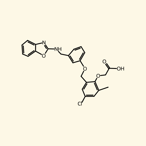 Cc1cc(Cl)cc(COc2cccc(CNc3nc4ccccc4o3)c2)c1OCC(=O)O